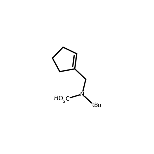 CC(C)(C)N(CC1=CCCC1)C(=O)O